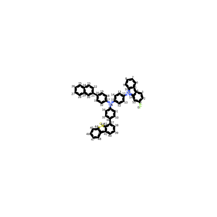 Fc1ccc2c3ccccc3n(-c3ccc(N(c4ccc(-c5ccc6ccccc6c5)cc4)c4ccc(-c5cccc6c5sc5ccccc56)cc4)cc3)c2c1